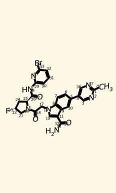 Cc1ncc(-c2ccc3c(c2)c(C(N)=O)cn3CC(=O)N2C[C@H](F)C[C@H]2C(=O)Nc2cccc(Br)n2)cn1